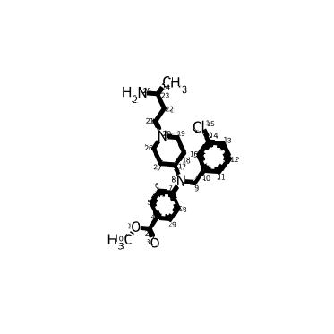 COC(=O)c1ccc(N(Cc2cccc(Cl)c2)C2CCN(CCC(C)N)CC2)cc1